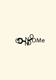 COC(=O)c1nc(C2CCOCC2)no1